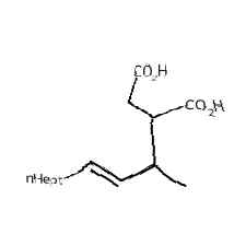 CCCCCCC/C=C/C(C)C(CC(=O)O)C(=O)O